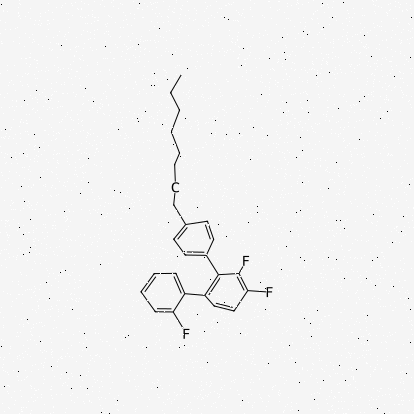 CCCCCCCCc1ccc(-c2c(-c3ccccc3F)ccc(F)c2F)cc1